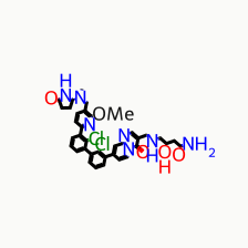 COc1nc(-c2cccc(-c3cccc(-c4ccn5c(=O)c(CNC[C@@H](O)CC(N)=O)cnc5c4)c3Cl)c2Cl)ccc1CN(C)[C@H]1CCC(=O)N1